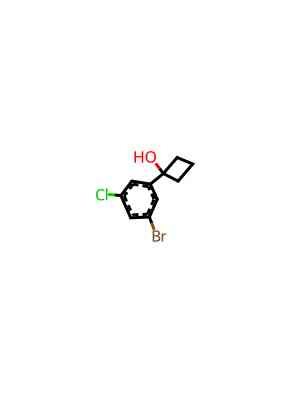 OC1(c2cc(Cl)cc(Br)c2)CCC1